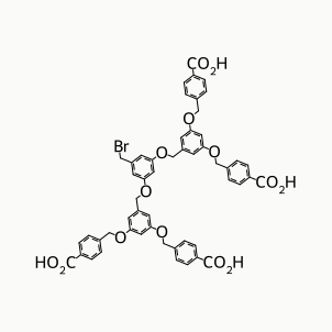 O=C(O)c1ccc(COc2cc(COc3cc(CBr)cc(OCc4cc(OCc5ccc(C(=O)O)cc5)cc(OCc5ccc(C(=O)O)cc5)c4)c3)cc(OCc3ccc(C(=O)O)cc3)c2)cc1